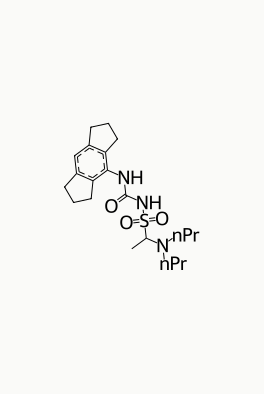 CCCN(CCC)C(C)S(=O)(=O)NC(=O)Nc1c2c(cc3c1CCC3)CCC2